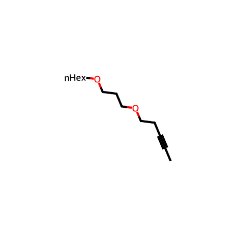 CC#CCCOCCCOCCCCCC